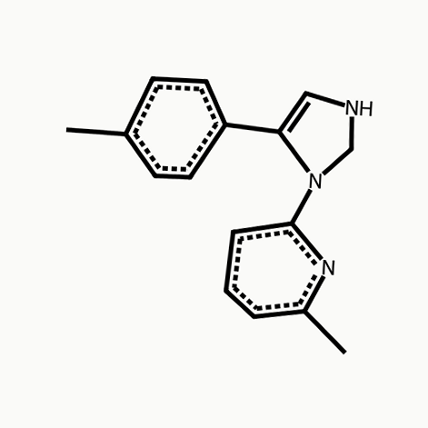 Cc1ccc(C2=CNCN2c2cccc(C)n2)cc1